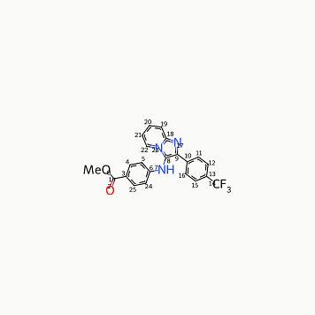 COC(=O)c1ccc(Nc2c(-c3ccc(C(F)(F)F)cc3)nc3ccccn23)cc1